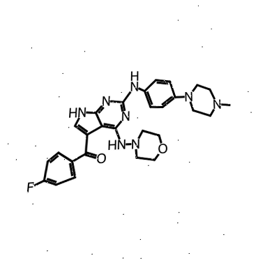 CN1CCN(c2ccc(Nc3nc(NN4CCOCC4)c4c(C(=O)c5ccc(F)cc5)c[nH]c4n3)cc2)CC1